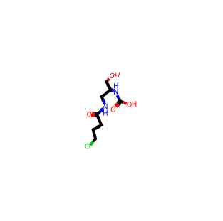 O=C(O)NC(CO)CNC(=O)CCCCl